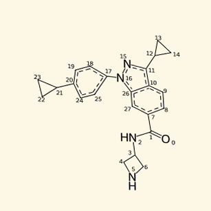 O=C(NC1CNC1)c1ccc2c(C3CC3)nn(-c3ccc(C4CC4)cc3)c2c1